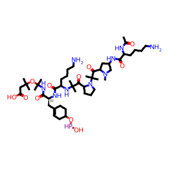 CC(=O)NC(CCCCN)C(=O)NC1CC(C(=O)C(C)(C)N2CCCC2C(=O)C(C)(C)NC(CCCCN)C(=O)N[C@@H](CC2=CCC(OPO)CC2)C(=O)NC(C)(C)OC(C)(C)CC(=O)O)N(C)C1